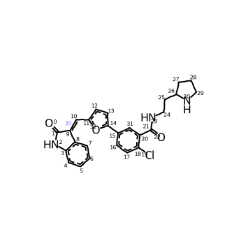 O=C1Nc2ccccc2/C1=C\c1ccc(-c2ccc(Cl)c(C(=O)NCCC3CCCN3)c2)o1